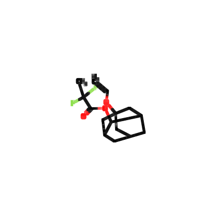 C=COC12CC3CC(C1)C(OC(=O)C(C)(F)F)C(C3)C2